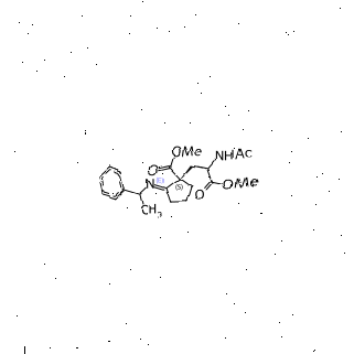 COC(=O)C(C[C@@]1(C(=O)OC)CCC/C1=N\C(C)c1ccccc1)NC(C)=O